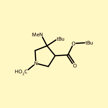 CNC1(C(C)(C)C)CN(C(=O)O)CC1C(=O)OC(C)(C)C